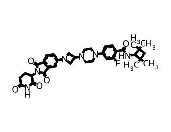 CC1(C)CC(C)(C)C1NC(=O)c1ccc(N2CCN(C3CN(c4ccc5c(c4)C(=O)N(C4CCC(=O)NC4=O)C5=O)C3)CC2)cc1F